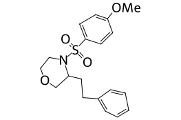 COc1ccc(S(=O)(=O)N2CCOCC2CCc2ccccc2)cc1